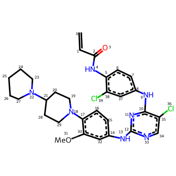 C=CC(=O)Nc1ccc(Nc2nc(Nc3ccc(N4CCC(N5CCCCC5)CC4)c(OC)c3)ncc2Cl)cc1Cl